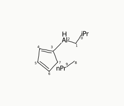 CC(C)[CH2][AlH][C]1=CC=CC1.CCCC